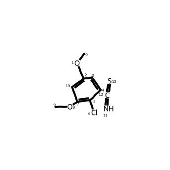 COc1ccc(Cl)c(OC)c1.N=C=S